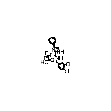 Clc1ccc(CNCc2nc(-c3ccccc3)c[nH]2)cc1Cl.O=C(O)C(F)(F)F